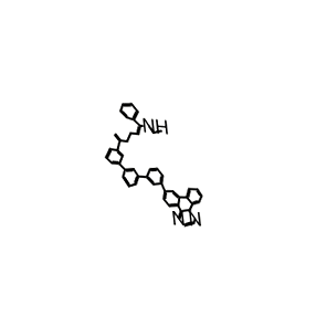 C=C(CC/C=C(/NCC)c1ccccc1)c1cccc(-c2cccc(-c3cccc(-c4ccc5c(c4)c4ccccc4c4nccnc54)c3)c2)c1